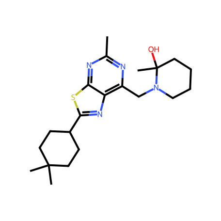 Cc1nc(CN2CCCCC2(C)O)c2nc(C3CCC(C)(C)CC3)sc2n1